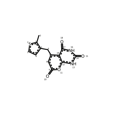 Cc1sccc1Cc1cc(=O)oc2[nH]c(=O)[nH]c(=O)c12